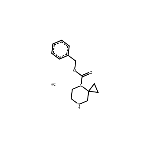 Cl.O=C(OCc1ccccc1)N1CCNCC12CC2